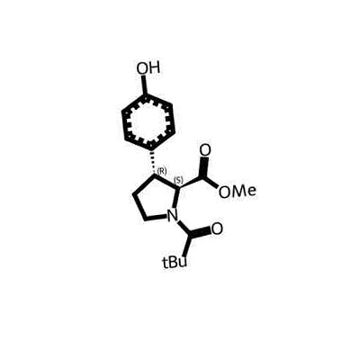 COC(=O)[C@@H]1[C@@H](c2ccc(O)cc2)CCN1C(=O)C(C)(C)C